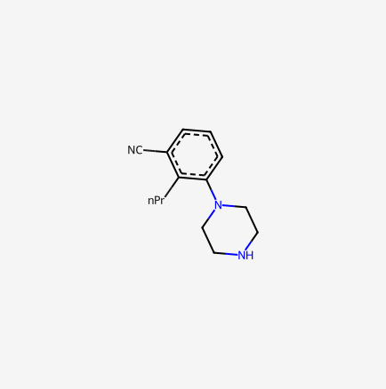 CCCc1c(C#N)cccc1N1CCNCC1